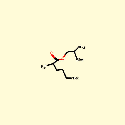 CCCCCCCCCCCCCC(C)C(=O)OCC(CCCCCCCC)CCCCCCCCCC